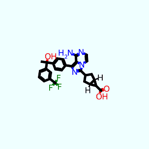 CC(O)(c1ccc(-c2nc(C3C[C@@H]4C(C(=O)O)[C@@H]4C3)n3ccnc(N)c23)cc1)c1cccc(C(F)(F)F)c1